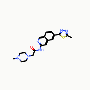 Cc1nnc(-c2ccc3cnc(NC(=O)CN4CCN(C)CC4)cc3c2)s1